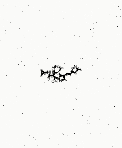 Cc1nnc(C=Cc2cnn3c(O)c(C(=O)NC4CC4)c(=O)n(CC(C)C)c23)s1